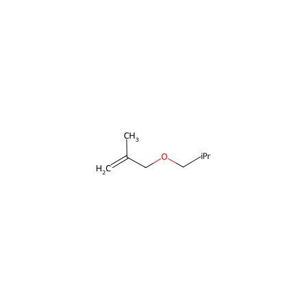 [CH2]C(C)COCC(=C)C